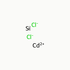 [Cd+2].[Cl-].[Cl-].[Si]